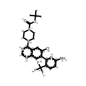 CC(C)(C)OC(=O)N1CCN(c2ncnc3cc(-c4nc(N)ccc4C(F)(F)F)c(Cl)cc23)CC1